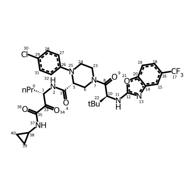 CCC[C@H](NC(=O)[C@H]1CN(C(=O)[C@@H](Nc2nc3cc(C(F)(F)F)ccc3o2)C(C)(C)C)CCN1c1ccc(Cl)cc1)C(=O)C(=O)NC1CC1